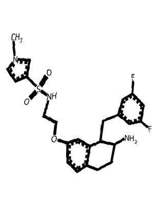 Cn1ccc(S(=O)(=O)NCCOc2ccc3c(c2)C(Cc2cc(F)cc(F)c2)C(N)CC3)c1